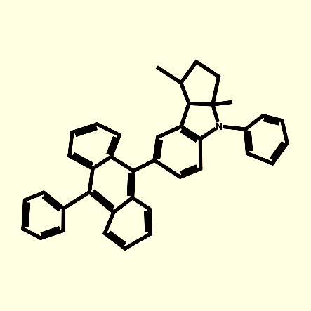 CC1CCC2(C)C1c1cc(-c3c4ccccc4c(-c4ccccc4)c4ccccc34)ccc1N2c1ccccc1